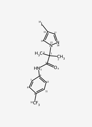 CC(C)(C(=O)Nc1ccc(C(F)(F)F)cc1)n1cc(I)cn1